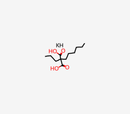 CCCCCCC(CCC)(C(=O)O)C(=O)O.[KH]